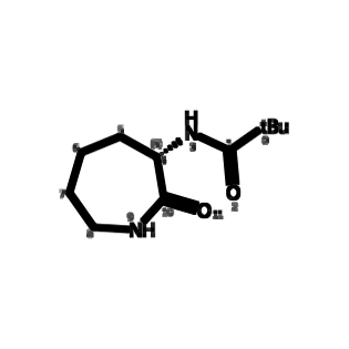 CC(C)(C)C(=O)N[C@H]1CCCCNC1=O